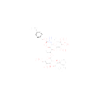 CC1OC(OC2C(CNC(=O)OCc3ccc([N+](=O)[O-])cc3)OCCC2OC2OC(CO)C(O)C(OC(CC3CCCCC3)C(=O)O)C2O)C(O)C(O)C1O